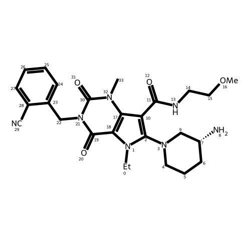 CCn1c(N2CCC[C@@H](N)C2)c(C(=O)NCCOC)c2c1c(=O)n(Cc1ccccc1C#N)c(=O)n2C